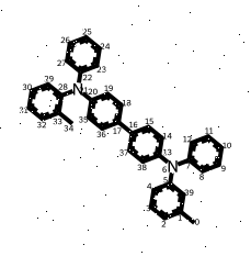 Cc1cccc(N(c2ccccc2)c2ccc(-c3ccc(N(c4ccccc4)c4ccccc4C)cc3)cc2)c1